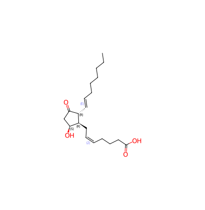 CCCCCC/C=C/[C@H]1C(=O)C[C@H](O)[C@@H]1C/C=C\CCCC(=O)O